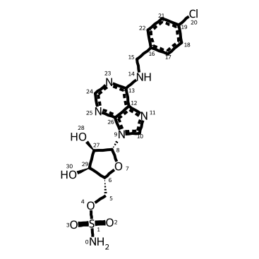 NS(=O)(=O)OC[C@H]1O[C@@H](n2cnc3c(NCc4ccc(Cl)cc4)ncnc32)[C@H](O)[C@@H]1O